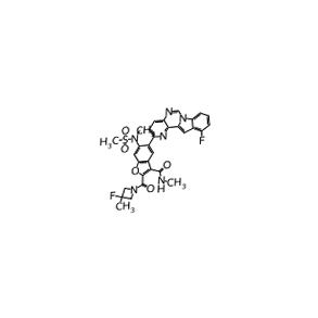 CNC(=O)c1c(C(=O)N2CC(C)(F)C2)oc2cc(N(C)S(C)(=O)=O)c(-c3ccc4ncn5c6cccc(F)c6cc5c4n3)cc12